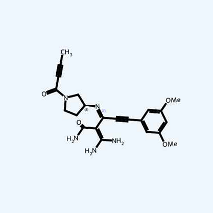 CC#CC(=O)N1CC[C@H](/N=C(/C#Cc2cc(OC)cc(OC)c2)C(C(N)=O)=C(N)N)C1